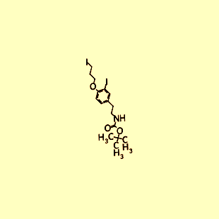 CC(C)(C)OC(=O)NCCc1ccc(OCCCI)c(I)c1